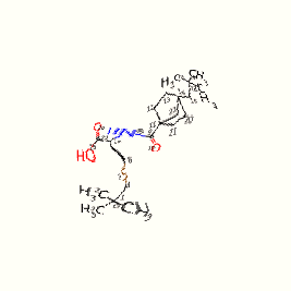 CC(C)(C)CSC[C@H](NC(=O)C12CCC(CC(C)(C)C)(CC1)C2)C(=O)O